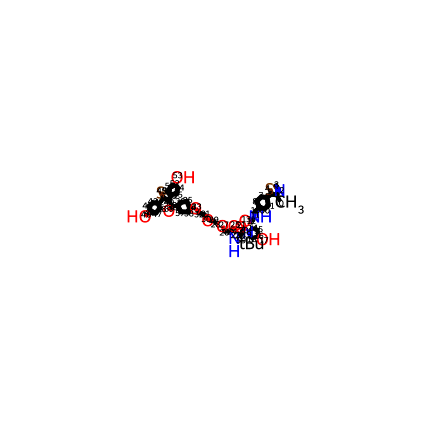 Cc1ncsc1-c1ccc(CNC(=O)[C@@H]2C[C@@H](O)CN2C(=O)[C@@H](NC(=O)COCCOCCOc2ccc(C(=O)c3c(-c4ccc(O)cc4)sc4cc(O)ccc34)cc2)C(C)(C)C)cc1